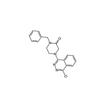 O=C1CN(c2nnc(Cl)c3ccccc23)CCN1Cc1ccccc1